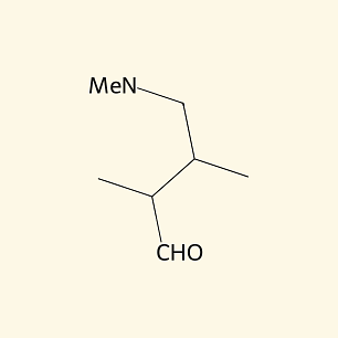 [CH2]NCC(C)C(C)C=O